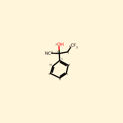 N#CC(O)(CC(F)(F)F)c1ccccc1